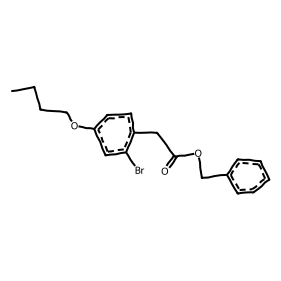 CCCCOc1ccc(CC(=O)OCc2ccccc2)c(Br)c1